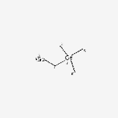 [CH3][Ge]([CH3])([CH3])[CH2][Sb]